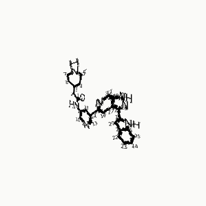 O=C(CC1CCNCC1)Nc1cncc(-c2cc3c(-c4cc5ccccc5[nH]4)n[nH]c3cn2)c1